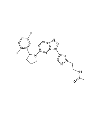 CC(=O)NCCn1cc(-c2cnc3ccc(N4CCCC4c4cc(F)ccc4F)nn23)cn1